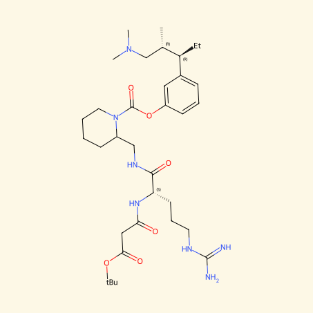 CC[C@@H](c1cccc(OC(=O)N2CCCCC2CNC(=O)[C@H](CCCNC(=N)N)NC(=O)CC(=O)OC(C)(C)C)c1)[C@@H](C)CN(C)C